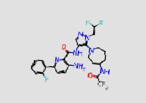 Nc1ccc(-c2ccccc2F)nc1C(=O)Nc1cnn(CC(F)F)c1N1CCCC(NC(=O)C(F)(F)F)CC1